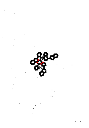 c1ccc(N(c2ccc(-c3ccccc3-n3c4ccccc4c4ccc5ccccc5c43)cc2)c2ccc(-c3ccc4ccccc4c3)c3ccccc23)c(-c2ccc3ccccc3c2)c1